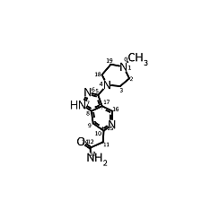 CN1CCN(c2n[nH]c3cc(CC(N)=O)ncc23)CC1